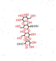 CC(=O)NC1C(OC2C(O)C(CO)OC(OC(C(O)CO)C(O)C(O)C=O)C2O)OC(CO)C(OC2OC(CO)C(O)C(O)C2O)C1O